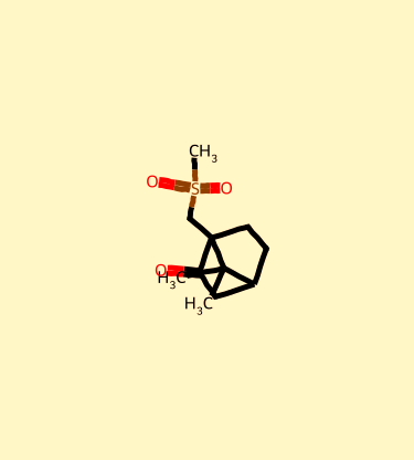 CC1(C)C2CCC1(CS(C)(=O)=O)C(=O)C2